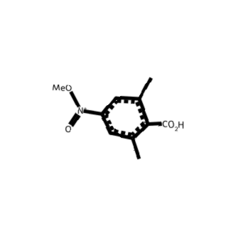 CO[N+](=O)c1cc(C)c(C(=O)O)c(C)c1